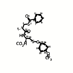 C[C@H](CSC(=O)c1ccccc1)C(=O)N[C@@H](CSCc1ccc(OC(F)(F)F)cc1)C(=O)O